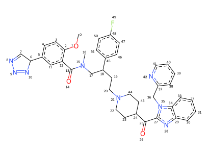 COc1ccc(C2C=NN=N2)cc1C(=O)N(C)CC(CCN1CCC(C(=O)c2nc3ccccc3n2Cc2ccccn2)CC1)c1ccc(F)cc1